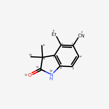 CCc1c(C#N)ccc2c1C(C)(C)C(=O)N2